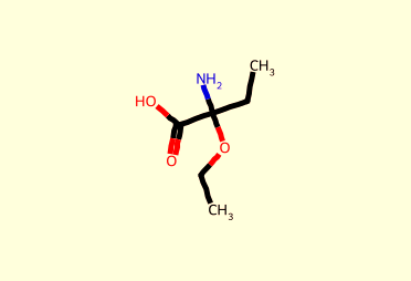 CCOC(N)(CC)C(=O)O